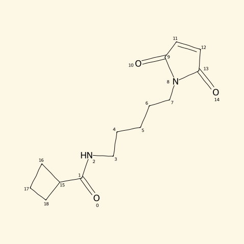 O=C(NCCCCCN1C(=O)C=CC1=O)C1CCC1